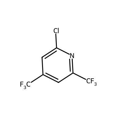 FC(F)(F)c1cc(Cl)nc(C(F)(F)F)c1